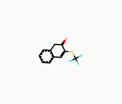 O=C1Cc2ccccc2C=C1SC(F)(F)F